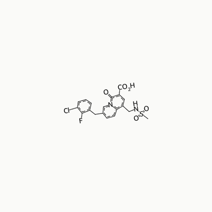 CS(=O)(=O)NCc1cc(C(=O)O)c(=O)n2cc(Cc3cccc(Cl)c3F)ccc12